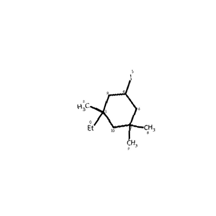 CCC1(C)CC(I)CC(C)(C)C1